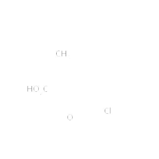 CC(C(=O)O)C(C(=O)Cl)C1CCCC1